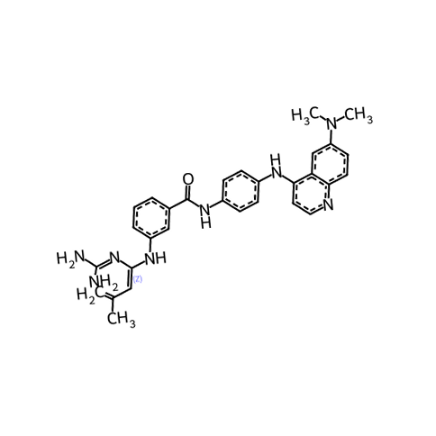 C=C(C)/C=C(\N=C(N)N)Nc1cccc(C(=O)Nc2ccc(Nc3ccnc4ccc(N(C)C)cc34)cc2)c1